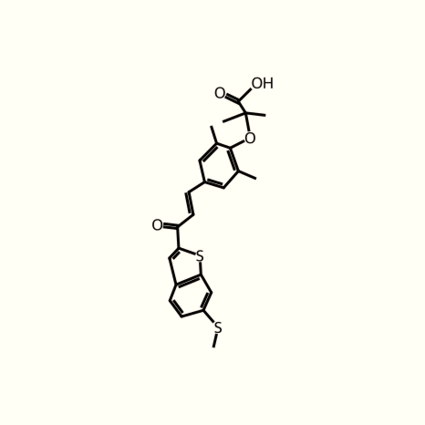 CSc1ccc2cc(C(=O)C=Cc3cc(C)c(OC(C)(C)C(=O)O)c(C)c3)sc2c1